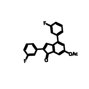 CC(=O)Oc1cc2c(c(-c3cccc(F)c3)c1)C=C(c1cccc(F)c1)C2=O